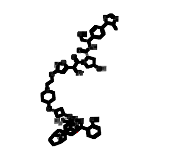 Cc1ncsc1-c1ccc([C@H](CO)NC(=O)[C@@H]2C[C@@H](O)CN2C(=O)C(c2cc(OCCN3CCC(O[C@H]4C[C@H](Oc5cc(N6C7CCC6CN(c6cc(-c8ccccc8O)nnc6N)C7)ccn5)C4)CC3)no2)C(C)C)cc1